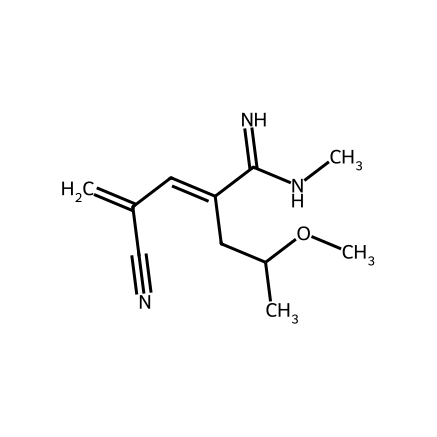 C=C(C#N)/C=C(\CC(C)OC)C(=N)NC